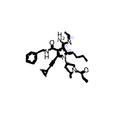 C=CC(=O)N1C[C@H](n2c(C#CC3CC3)c(C(=O)NCc3ccccc3)c(=C(N)/N=C\C)/c2=C/CCC)CC1C